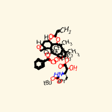 C=CC1O[C@H]2C[C@H]3OC[C@@]3(OC(C)=O)[C@H]3[C@H](OC(=O)c4ccccc4)[C@]4(O)C[C@H](OC(=O)[C@H](O)[C@H](CC(C)C)NC(=O)OC(C)(C)C)C(C)=C(C(C)[C@H](O1)[C@]23C)C4(C)C